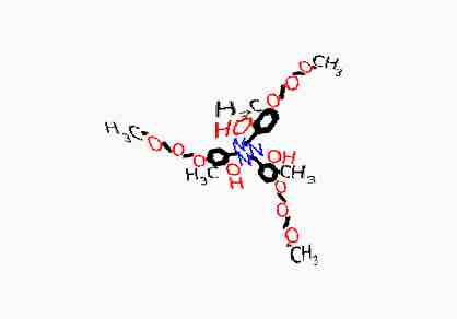 CCOCCOCCOc1ccc(-c2nc(-c3ccc(OCCOCCOCC)c(C)c3O)nc(-c3ccc(OCCOCCOCC)c(C)c3O)n2)c(O)c1C